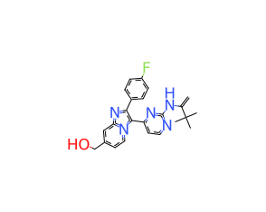 C=C(Nc1nccc(-c2c(-c3ccc(F)cc3)nc3cc(CO)ccn23)n1)C(C)(C)C